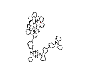 FC(F)(F)c1c(-c2ccccc2)c(-n2c3ccccc3c3ccccc32)c(-c2ccccc2)c(C(F)(F)F)c1-n1c2ccccc2c2c(-c3cccc(-c4nc(-c5ccccc5)nc(-n5c6ccccc6c6cc(-c7ccc8c(c7)c7ccccc7n8-c7ccccc7)ccc65)n4)c3)cccc21